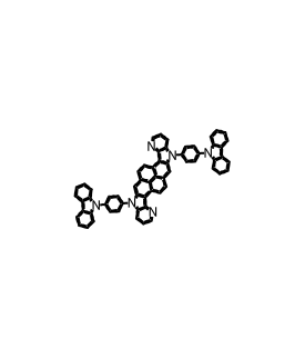 c1ccc2c(c1)c1ccccc1n2-c1ccc(-n2c3cccnc3c3c4ccc5cc6c(c7ccc(cc32)c4c57)c2ncccc2n6-c2ccc(-n3c4ccccc4c4ccccc43)cc2)cc1